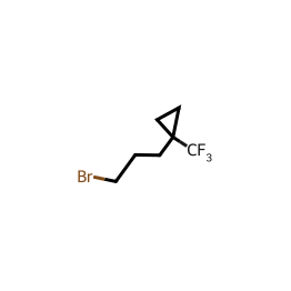 FC(F)(F)C1(CCCBr)CC1